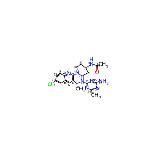 CC(=O)NC1CCN(c2nc3ccc(Cl)cc3cc2C(C)Nc2nc(C)nc(N)n2)CC1